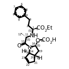 CCOC(=O)[C@H](CCc1ccccc1)N[C@@H](C)C(=O)N1[C@@H](OC(=O)O)C[C@@H]2CC=C[C@H]21